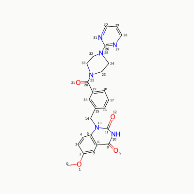 COc1ccc2c(c1)c(=O)[nH]c(=O)n2Cc1cccc(C(=O)N2CCN(c3ncccn3)CC2)c1